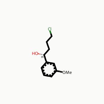 COc1cccc([C@H](O)CCCCl)c1